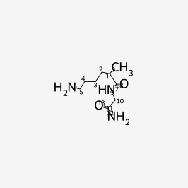 CC(CCCCN)C(=O)NCC(N)=O